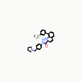 O=C(Nc1ccc(CN2CCCC2)cc1)c1ccc2cccc(-c3cccc(C(F)(F)F)c3)c2n1